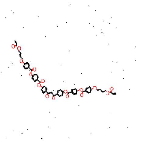 C=CC(=O)OCCCCOc1ccc(C(=O)Oc2ccc(C(=O)Oc3ccc(C(=O)CC(=O)c4ccc(OC(=O)c5ccc(OC(=O)c6ccc(OCCCCOC(=O)C=C)cc6)cc5)cc4)cc3)cc2)cc1